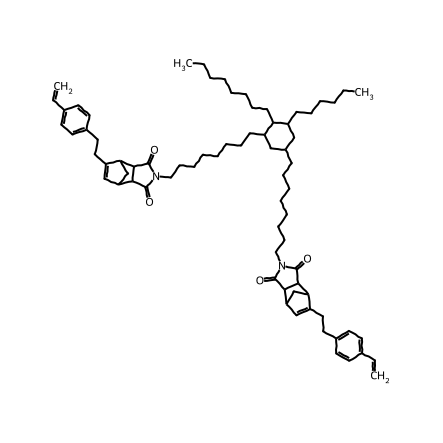 C=Cc1ccc(CCC2=CC3CC2C2C(=O)N(CCCCCCCCC4CC(CCCCCC)C(CCCCCCCC)C(CCCCCCCCN5C(=O)C6C7C=C(CCc8ccc(C=C)cc8)C(C7)C6C5=O)C4)C(=O)C32)cc1